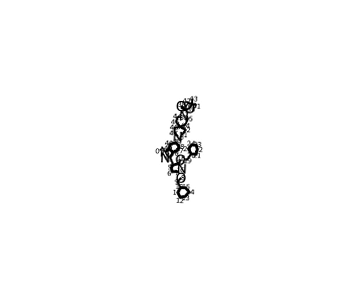 Cn1nc(-c2ccc(OCc3ccccc3)nc2OCc2ccccc2)c2ccc(N3CCC4(CCN(C(=O)OC(C)(C)C)CC4)CC3)cc21